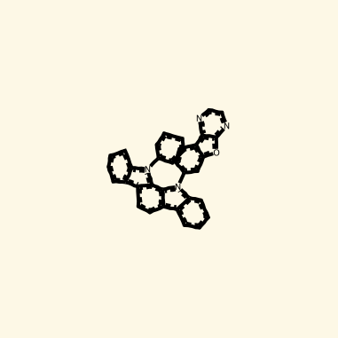 c1ccc(-n2c3ccccc3c3ccc4c5ccccc5n(-c5ccc6c(c5)oc5nccnc56)c4c32)cc1